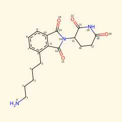 NCCCCCc1cccc2c1C(=O)N(C1CCC(=O)NC1=O)C2=O